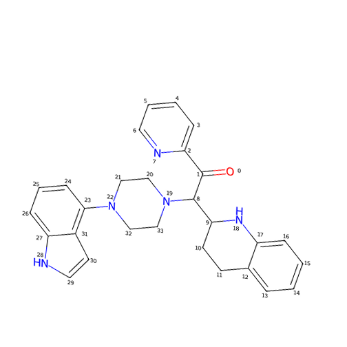 O=C(c1ccccn1)C(C1CCc2ccccc2N1)N1CCN(c2cccc3[nH]ccc23)CC1